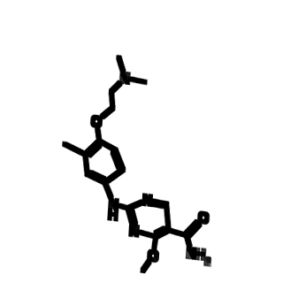 COc1nc(Nc2ccc(OCCN(C)C)c(C)c2)ncc1C(N)=O